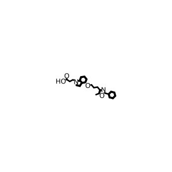 Cc1oc(-c2ccccc2)nc1CCCOc1cccc2c1ccn2CCC(=O)O